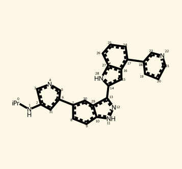 CC(C)Nc1cncc(-c2ccc3[nH]nc(-c4cc5c(-c6cccnc6)cccc5[nH]4)c3c2)c1